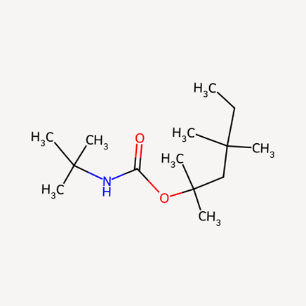 CCC(C)(C)CC(C)(C)OC(=O)NC(C)(C)C